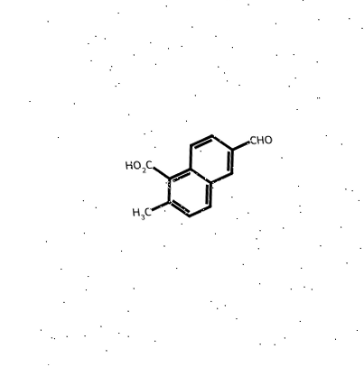 Cc1ccc2cc(C=O)ccc2c1C(=O)O